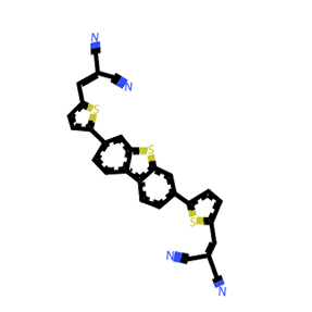 N#CC(C#N)=Cc1ccc(-c2ccc3c(c2)sc2cc(-c4ccc(C=C(C#N)C#N)s4)ccc23)s1